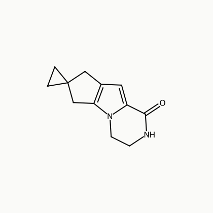 O=C1NCCn2c1cc1c2CC2(CC2)C1